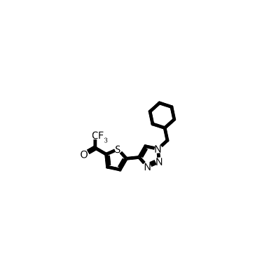 O=C(c1ccc(-c2cn(CC3CCCCC3)nn2)s1)C(F)(F)F